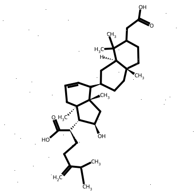 C=C(CC[C@@H](C(=O)O)[C@H]1[C@H](O)C[C@@]2(C)C([C@@H]3CC[C@@]4(C)CCC(CC(=O)O)C(C)(C)[C@@H]4C3)C=CC[C@]12C)C(C)C